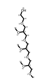 COCC(COCC(COCC(COCCO)OC)OC)OC